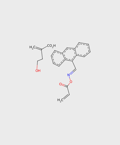 C=C(CCO)C(=O)O.C=CC(=O)ON=Cc1c2ccccc2cc2ccccc12